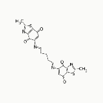 Cc1nc2c(s1)C(=O)C=C(N=CCCCC=NC1=CC(=O)c3sc(C)nc3C1=O)C2=O